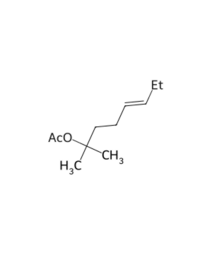 CCC=CCCC(C)(C)OC(C)=O